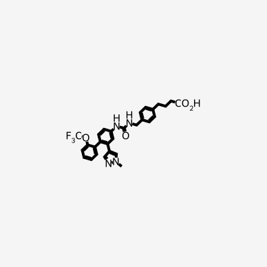 Cn1cc(-c2cc(NC(=O)NCc3ccc(CCCC(=O)O)cc3)ccc2-c2ccccc2OC(F)(F)F)cn1